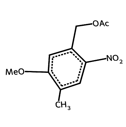 COc1cc(COC(C)=O)c([N+](=O)[O-])cc1C